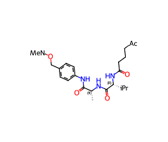 CNOCc1ccc(NC(=O)[C@@H](C)NC(=O)[C@H](NC(=O)CCCC(C)=O)C(C)C)cc1